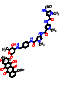 COc1cccc2c1C(=O)c1c(O)c3c(c(O)c1C2=O)C[C@](O)(C(C)=O)C[C@H]3OC1CC(NCc2ccc(NC(=O)c3cc(NC(=O)c4cc(NC(=O)c5cc(NC=O)cn5C)cn4C)cn3C)cc2)C(O)C(C)O1